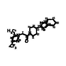 Cc1cc(C(F)(F)F)nn1CC(=O)N1CCC(c2nc3c(s2)=CCCC=3)CC1